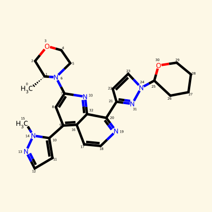 C[C@@H]1COCCN1c1cc(-c2ccnn2C)c2ccnc(-c3ccn(C4CCCCO4)n3)c2n1